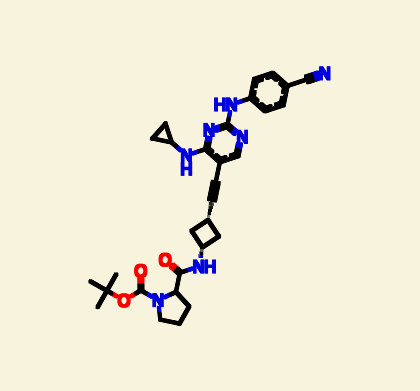 CC(C)(C)OC(=O)N1CCCC1C(=O)N[C@H]1C[C@@H](C#Cc2cnc(Nc3ccc(C#N)cc3)nc2NC2CC2)C1